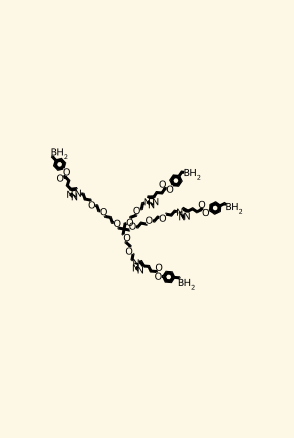 BCc1ccc(OC(=O)CCc2cn(CCCOCCOCCCOCC(COCCCOCCOCCCn3cc(CCC(=O)Oc4ccc(CB)cc4)nn3)(COCCOCCn3cc(CCC(=O)Oc4ccc(CB)cc4)nn3)COCCOCCn3cc(CCC(=O)Oc4ccc(CB)cc4)nn3)nn2)cc1